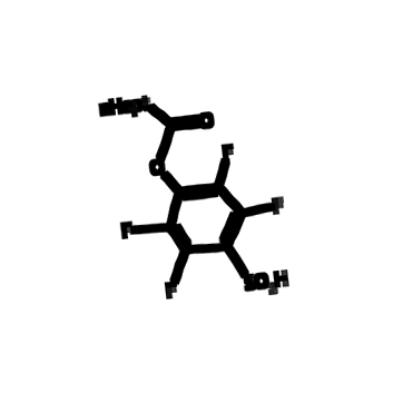 CCCCCCCC(=O)Oc1c(F)c(F)c(S(=O)(=O)O)c(F)c1F